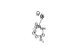 B[C@@H]1[C@@H](C)C(=O)[C@@H](C)C(=O)O[C@H](CC)[C@@]2(C)OC(=O)N(CCCCCn3cc(-c4ccccn4)nn3)[C@@H]2[C@@H](C)NC[C@H](C)C[C@@]1(C)OC